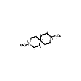 CC(C)(C)C1CCC2(CC1)CCN(C(C)(C)C)CC2